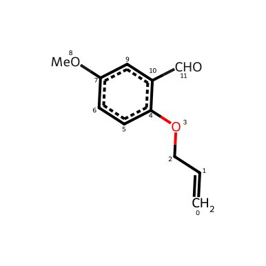 C=CCOc1ccc(OC)cc1C=O